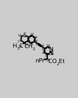 CCCC(C(=O)OCC)c1cc(C#Cc2ccc3c(c2)C(C)(C)CCS3)cnn1